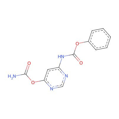 NC(=O)Oc1cc(NC(=O)Oc2ccccc2)ncn1